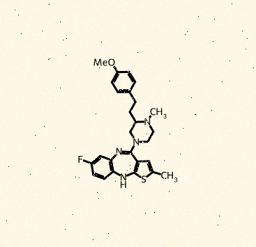 COc1ccc(CCC2CN(C3=Nc4cc(F)ccc4Nc4sc(C)cc43)CCN2C)cc1